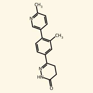 Cc1ccc(-c2ccc(C3=NNC(=O)CC3)cc2C)cn1